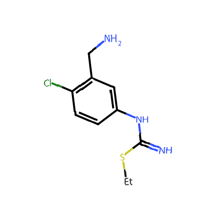 CCSC(=N)Nc1ccc(Cl)c(CN)c1